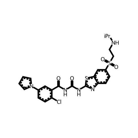 CC(C)NCCS(=O)(=O)c1ccc2nc(NC(=O)NC(=O)c3cc(-n4cccc4)ccc3Cl)sc2c1